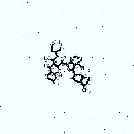 C=C(/C=C(F)\C=C/C)C1=C(C(C)n2nc(-c3ccc4c(C)c[nH]c4c3)c3c(N)ncnc32)O[C@H]2CC=CC=C2C1=O